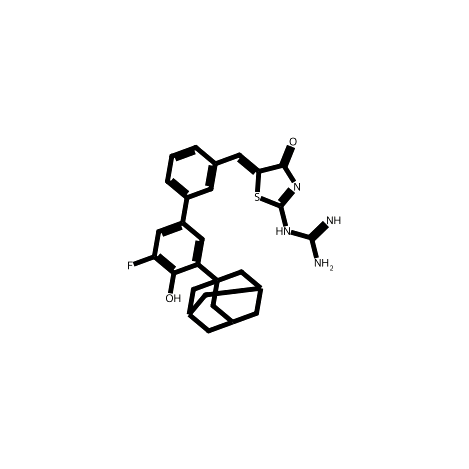 N=C(N)NC1=NC(=O)C(=Cc2cccc(-c3cc(F)c(O)c(C45CC6CC(CC(C6)C4)C5)c3)c2)S1